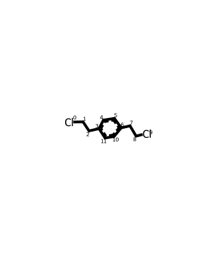 ClCCc1ccc(CCCl)cc1